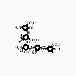 CCC1(N)C=CC=C(C(=O)O)C1O.CCCC1(N)C=CC=C(C(=O)O)C1O.CCc1c(N)ccc(C(=O)O)c1O.CCc1cc(N)cc(C(=O)O)c1O.Cc1cc(N)cc(C(=O)O)c1O